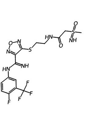 CS(=N)(=O)CC(=O)NCCSc1nonc1C(=N)Nc1ccc(F)c(C(F)(F)F)c1